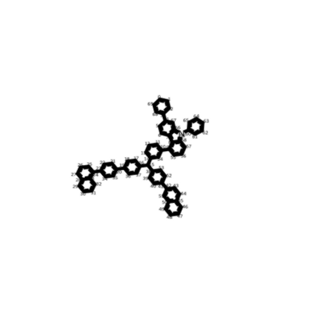 c1ccc(-c2ccc3c4c(-c5cccc(C(c6ccc(-c7ccc(-c8cccc9ccccc89)cc7)cc6)c6ccc(-c7ccc8ccccc8c7)cc6)c5)cccc4n(-c4ccccc4)c3c2)cc1